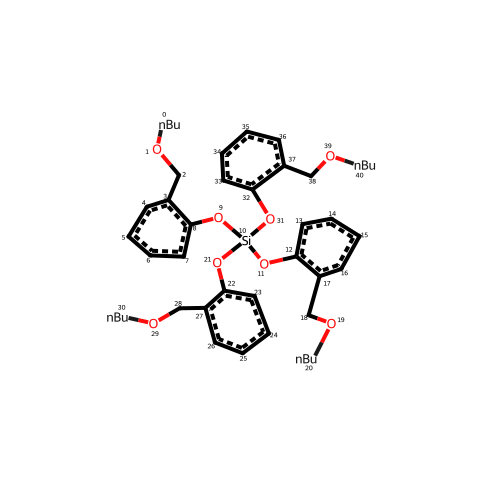 CCCCOCc1ccccc1O[Si](Oc1ccccc1COCCCC)(Oc1ccccc1COCCCC)Oc1ccccc1COCCCC